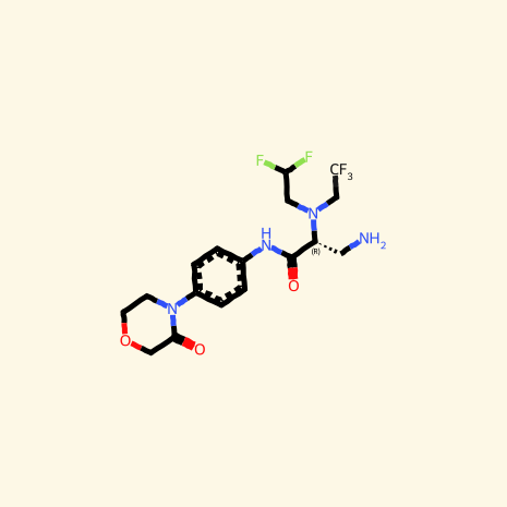 NC[C@H](C(=O)Nc1ccc(N2CCOCC2=O)cc1)N(CC(F)F)CC(F)(F)F